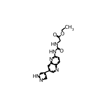 CCOC(=O)CNC(=O)Nc1ccc2ncc(-c3cn[nH]c3)cc2n1